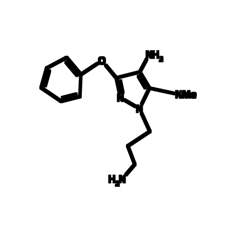 CNc1c(N)c(Oc2ccccc2)nn1CCCN